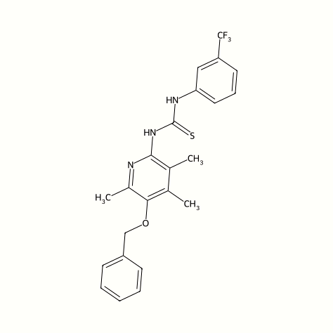 Cc1nc(NC(=S)Nc2cccc(C(F)(F)F)c2)c(C)c(C)c1OCc1ccccc1